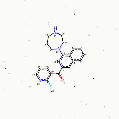 O=C(c1cc2ccccc2c(N2CCCNCC2)n1)c1cccnc1F